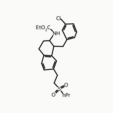 CCCS(=O)(=O)CCc1ccc2c(c1)C(Cc1cccc(Cl)c1)C(NC(=O)OCC)CC2